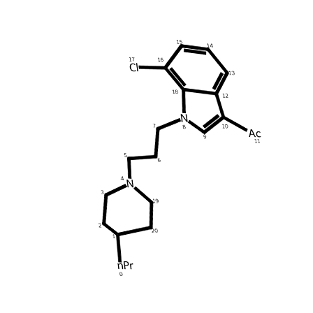 CCCC1CCN(CCCn2cc(C(C)=O)c3cccc(Cl)c32)CC1